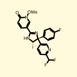 COn1cc(C2=N[C@](c3ccc(F)cc3)(c3ccc(C(F)F)nc3)[C@H](C)N2)ccc1=O